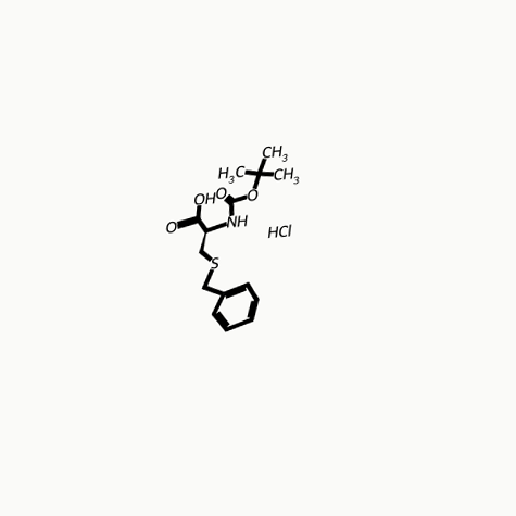 CC(C)(C)OC(=O)N[C@@H](CSCc1ccccc1)C(=O)O.Cl